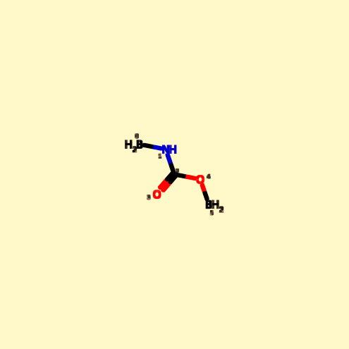 BNC(=O)OB